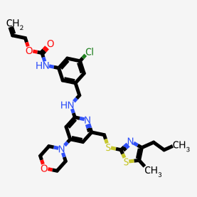 C=CCOC(=O)Nc1cc(Cl)cc(CNc2cc(N3CCOCC3)cc(CSc3nc(CCC)c(C)s3)n2)c1